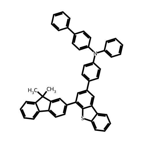 CC1(C)c2ccccc2-c2ccc(-c3cc(-c4ccc(N(c5ccccc5)c5ccc(-c6ccccc6)cc5)cc4)cc4c3sc3ccccc34)cc21